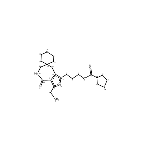 CCc1nn(CCCOC(=O)C2CCSC2)c2c1C(=O)NCC1(CCOCC1)C2